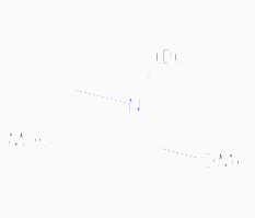 COCN(COC)C(C)(C)C